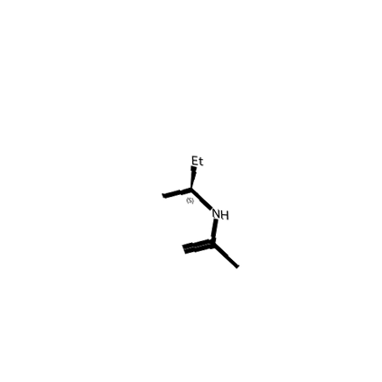 C=C(C)N[C@@H](C)CC